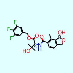 Cc1c(C(=O)N[C@H](C(=O)OCc2cc(F)c(F)c(F)c2)C(C)(C)O)ccc2c1B(O)OC2